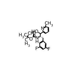 Cc1cccc(C(O)[C@H](Cc2cc(F)cc(F)c2)NC(=O)OC(C)(C)C)n1